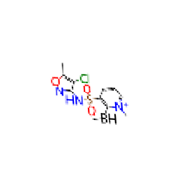 CBc1c(S(=O)(=O)Nc2noc(C)c2Cl)ccc[n+]1C